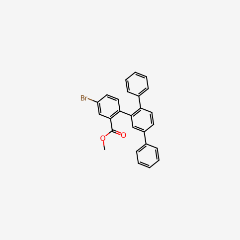 COC(=O)c1cc(Br)ccc1-c1cc(-c2ccccc2)ccc1-c1ccccc1